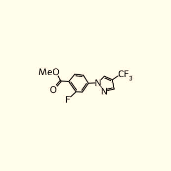 COC(=O)c1ccc(-n2cc(C(F)(F)F)cn2)cc1F